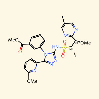 COC(=O)c1cccc(-n2c(NS(=O)(=O)[C@@H](C)[C@H](OC)c3ncc(C)cn3)nnc2-c2cccc(OC)n2)c1